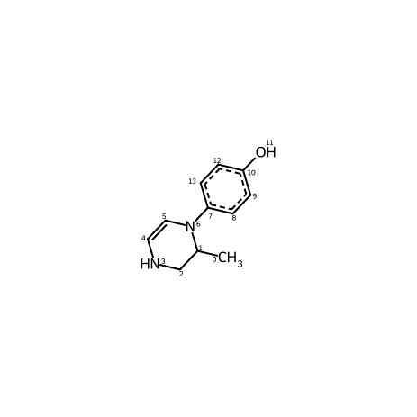 CC1CNC=CN1c1ccc(O)cc1